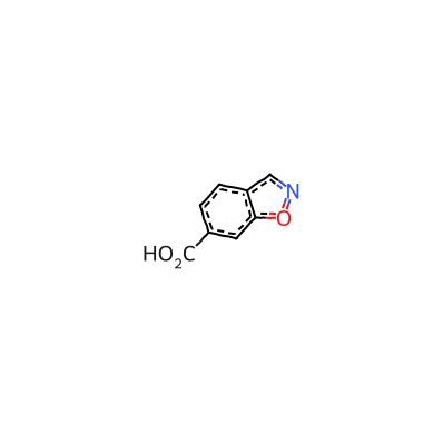 O=C(O)c1ccc2cnoc2c1